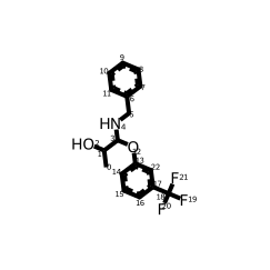 CC(O)C(NCc1ccccc1)Oc1cccc(C(F)(F)F)c1